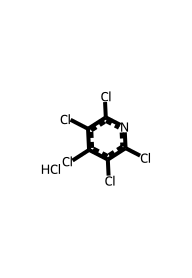 Cl.Clc1nc(Cl)c(Cl)c(Cl)c1Cl